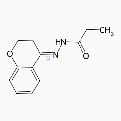 CCC(=O)N/N=C1\CCOc2ccccc21